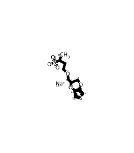 CC(CCOCC1COc2cscc2O1)S(=O)(=O)[O-].[Na+]